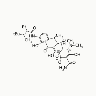 CCC(C(=O)Nc1ccc2c(c1O)C(=O)C1=C(O)[C@]3(O)C(=O)C(C(N)=O)=C(O)[C@@H](N(C)C)C3C(O)C1C2C)N(C)C(C)(C)C